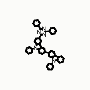 c1ccc(-c2nc(-c3ccccc3)nc(-c3ccc4c(c3)c3cc(-c5ccc6c7ccccc7n(-c7ccccc7)c6c5)ccc3n4-c3ccccc3)n2)cc1